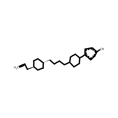 C=CC[C@H]1CC[C@H](CCCCC2CCC(c3ccc(C#N)cc3)CC2)CC1